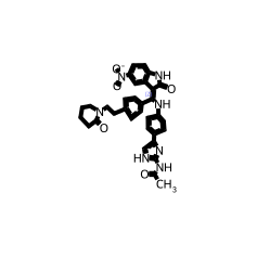 CC(=O)Nc1nc(-c2ccc(N/C(=C3\C(=O)Nc4ccc([N+](=O)[O-])cc43)c3ccc(CCN4CCCCC4=O)cc3)cc2)c[nH]1